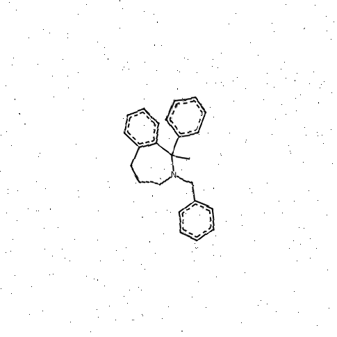 CC1(c2ccccc2)c2ccccc2CCCN1Cc1ccccc1